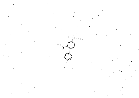 CCC(=O)c1cc([Si](C(C)C)(C(C)C)C(C)C)ccc1-c1ccc(O)cc1